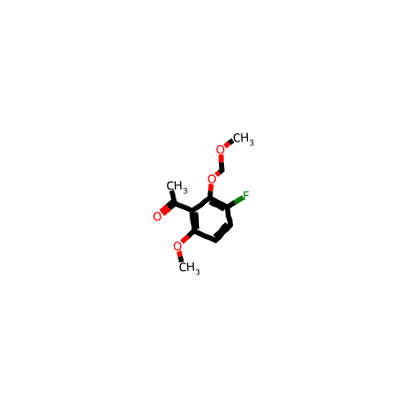 COCOc1c(F)ccc(OC)c1C(C)=O